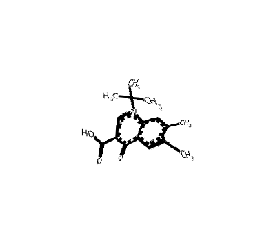 Cc1cc2c(=O)c(C(=O)O)cn(C(C)(C)C)c2cc1C